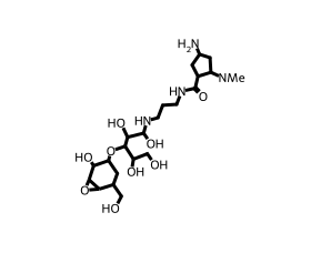 CNC1CC(N)CC1C(=O)NCCCNC(O)C(O)C(OC1CC(CO)C2OC2C1O)C(O)CO